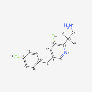 CC(C)(CN)c1ncc(Cc2ccc(F)cc2)cc1F